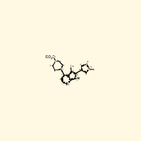 CCOC(=O)N1CCN(c2ccnc3[nH]c(-c4cnn(C)c4)c(F)c23)CC1